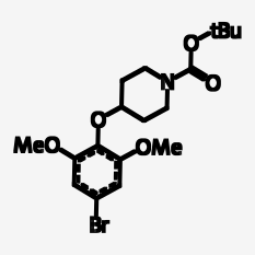 COc1cc(Br)cc(OC)c1OC1CCN(C(=O)OC(C)(C)C)CC1